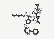 C=CCCCCN(C)C(=O)[C@@H]1C[C@H](Oc2ccnc(-c3ccccc3)n2)C[C@H]1C(=O)N[C@]1(C(=O)NS(=O)(=O)C2CC2)C[C@H]1C=C